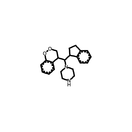 c1ccc2c(c1)CCC2C(C1COOc2ccccc21)N1CCNCC1